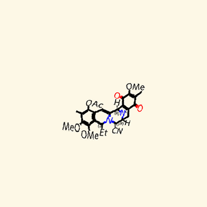 CC[C@H]1c2c(c(OC(C)=O)c(C)c(OC)c2OC)C=C2[C@H]3C4=C(C[C@H]([C@H](C#N)N21)N3C)C(=O)C(C)=C(OC)C4=O